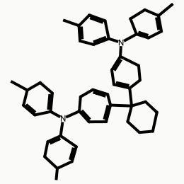 CC1=CC=C(N(C2=CC=C(C3(C4=CC=C(N(C5=CCC(C)C=C5)C5=CCC(C)C=C5)CC=C4)CCCCC3)CC2)c2ccc(C)cc2)CC1